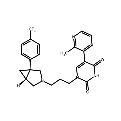 Cc1ncccc1-c1cn(CCCN2C[C@@H]3C[C@]3(c3ccc(C(F)(F)F)cc3)C2)c(=O)[nH]c1=O